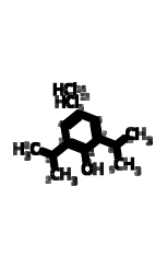 CC(C)c1cccc(C(C)C)c1O.Cl.Cl